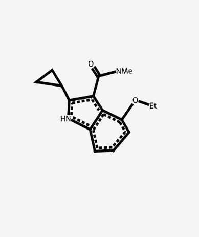 CCOc1c[c]cc2[nH]c(C3CC3)c(C(=O)NC)c12